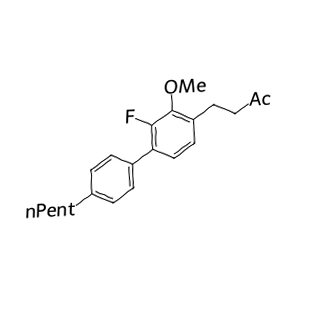 CCCCCc1ccc(-c2ccc(CCC(C)=O)c(OC)c2F)cc1